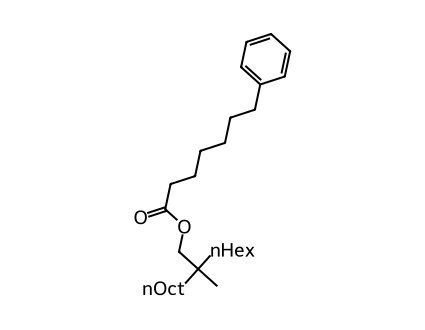 CCCCCCCCC(C)(CCCCCC)COC(=O)CCCCCCc1ccccc1